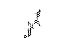 COc1cc(N=Nc2ccc(N=Nc3ccc4cc(S(=O)(=O)O)cc(S(=O)(=O)O)c4c3)c3ccc(S(=O)(=O)O)cc23)c2cc(S(=O)(=O)O)ccc2c1N=Nc1c(S(=O)(=O)O)cc2cc(Nc3ccccc3)ccc2c1O